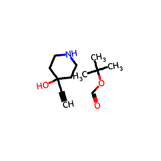 C#CC1(O)CCNCC1.CC(C)(C)OC=O